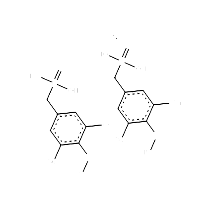 CCCCOc1c(C(C)(C)C)cc(CP(=O)(O)O)cc1C(C)(C)C.CCCCOc1c(C(C)(C)C)cc(CP(=O)(O)O)cc1C(C)(C)C.[Ni]